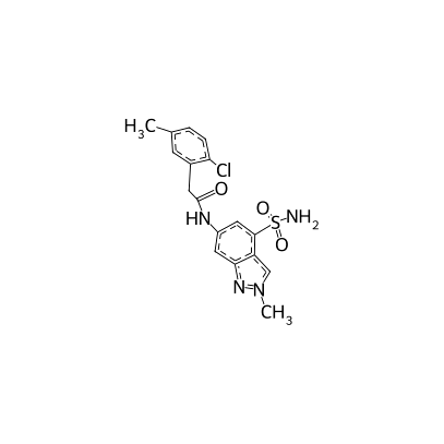 Cc1ccc(Cl)c(CC(=O)Nc2cc(S(N)(=O)=O)c3cn(C)nc3c2)c1